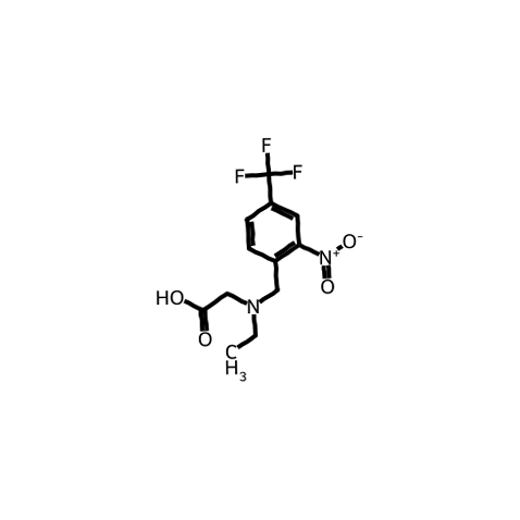 CCN(CC(=O)O)Cc1ccc(C(F)(F)F)cc1[N+](=O)[O-]